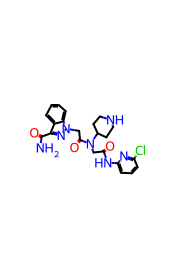 NC(=O)c1nn(CC(=O)N(CC(=O)Nc2cccc(Cl)n2)C2CCNCC2)c2ccccc12